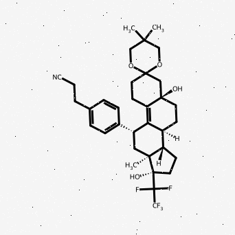 CC1(C)COC2(CCC3=C4[C@@H](CC[C@@]3(O)C2)[C@@H]2CC[C@@](O)(C(F)(F)C(F)(F)F)[C@@]2(C)C[C@@H]4c2ccc(CCC#N)cc2)OC1